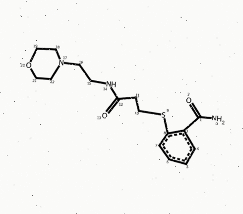 NC(=O)c1ccccc1SC[CH]C(=O)NCCN1CCOCC1